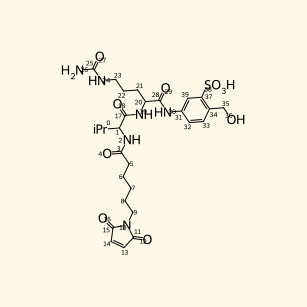 CC(C)C(NC(=O)CCCCCN1C(=O)C=CC1=O)C(=O)NC(CCCNC(N)=O)C(=O)Nc1ccc(CO)c(S(=O)(=O)O)c1